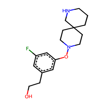 OCCc1cc(F)cc(ON2CCC3(CCCNC3)CC2)c1